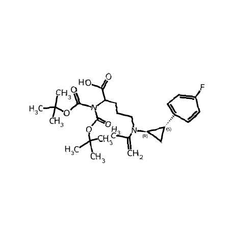 C=C(C)N(CCCC(C(=O)O)N(C(=O)OC(C)(C)C)C(=O)OC(C)(C)C)[C@@H]1C[C@H]1c1ccc(F)cc1